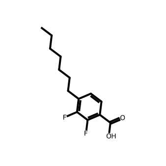 CCCCCCCc1ccc(C(=O)O)c(F)c1F